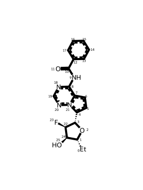 CC[C@H]1O[C@@H](c2ccc3c(NC(=O)c4ccccc4)ncnn23)[C@H](F)[C@@H]1O